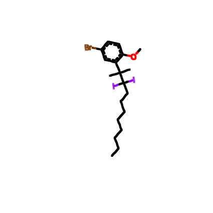 CCCCCCCCC(I)(I)C(C)(C)c1cc(Br)ccc1OC